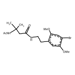 COc1cc(CCNC(=O)CC(C)(C)NC(C)=O)c(OC)cc1Br